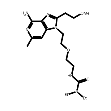 CCN(CC)C(=O)NCCOCCn1c(CCOC)nc2c(N)nc(C)cc21